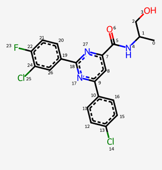 CC(CO)NC(=O)c1cc(-c2ccc(Cl)cc2)nc(-c2ccc(F)c(Cl)c2)n1